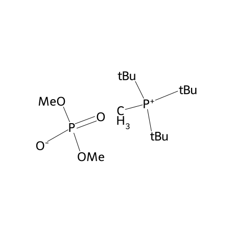 CC(C)(C)[P+](C)(C(C)(C)C)C(C)(C)C.COP(=O)([O-])OC